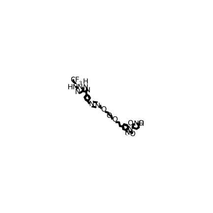 Cn1c(=O)n([C@H]2CCC(=O)NC2=O)c2ccc(CCCOCCOCCOCCN3CCN(Cc4ccc(-c5n[nH]c6nc(NCCC(F)(F)F)ncc56)cc4)CC3)cc21